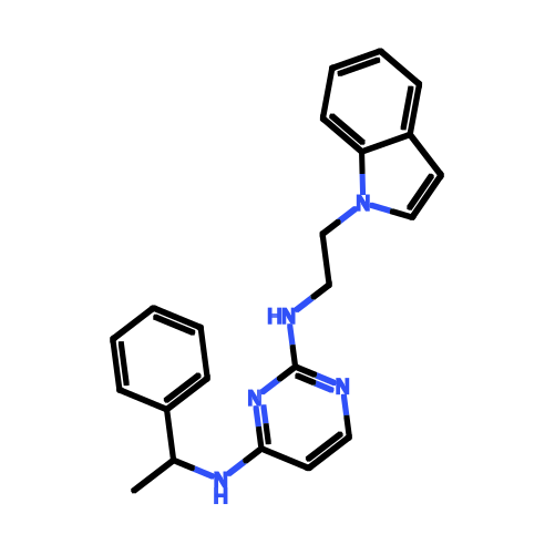 CC(Nc1ccnc(NCCn2ccc3ccccc32)n1)c1ccccc1